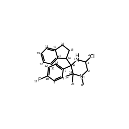 CN1CC(Cl)NC(c2ccc(F)cc2)(C2CCc3ccccc32)C1(C)C